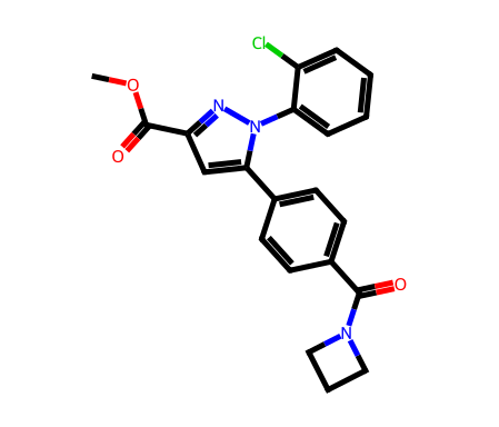 COC(=O)c1cc(-c2ccc(C(=O)N3CCC3)cc2)n(-c2ccccc2Cl)n1